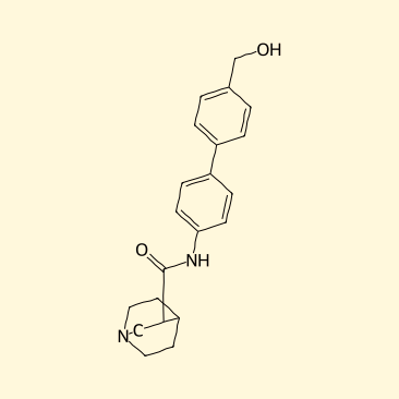 O=C(Nc1ccc(-c2ccc(CO)cc2)cc1)C1CN2CCC1CC2